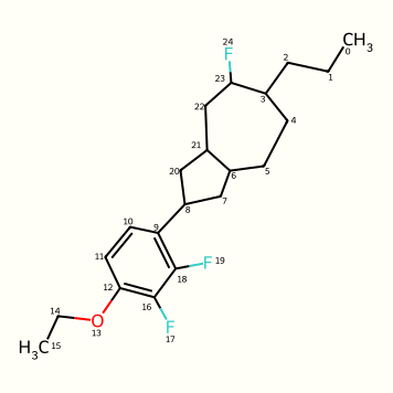 CCCC1CCC2CC(c3ccc(OCC)c(F)c3F)CC2CC1F